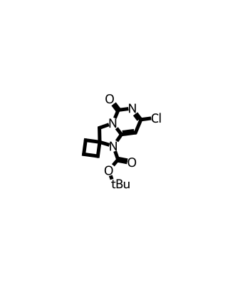 CC(C)(C)OC(=O)N1c2cc(Cl)nc(=O)n2CC12CCC2